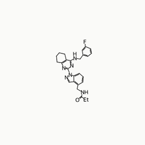 CCC(=O)NCc1cccc2c1cnn2-c1nc2c(c(NCc3cccc(F)c3)n1)CCCC2